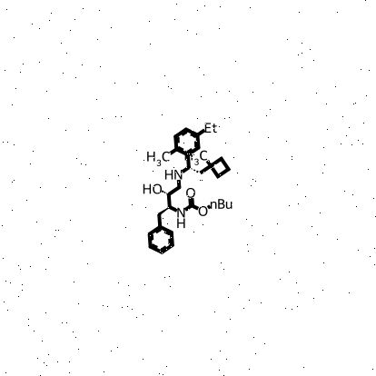 CCCCOC(=O)N[C@@H](Cc1ccccc1)[C@H](O)CN[C@@H](CC1(C)CCC1)c1cc(CC)ccc1C